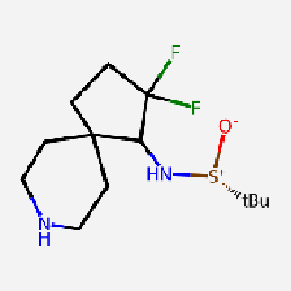 CC(C)(C)[S@@+]([O-])NC1C(F)(F)CCC12CCNCC2